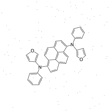 c1ccc(N(c2ccoc2)c2ccc3ccc4c(N(c5ccccc5)c5ccoc5)ccc5ccc2c3c54)cc1